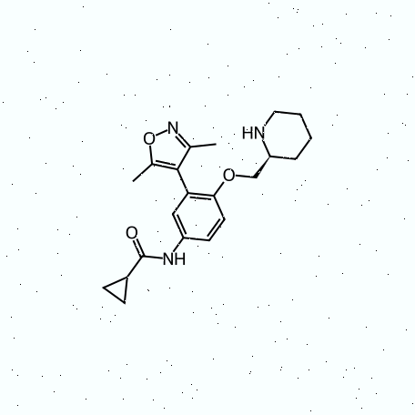 Cc1noc(C)c1-c1cc(NC(=O)C2CC2)ccc1OC[C@@H]1CCCCN1